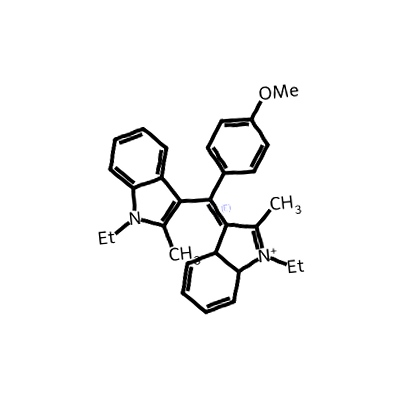 CCn1c(C)c(/C(=C2/C(C)=[N+](CC)C3C=CC=CC23)c2ccc(OC)cc2)c2ccccc21